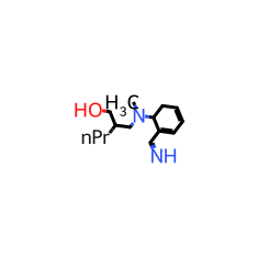 CCCC(CO)CN(C)C1CC=CC=C1C=N